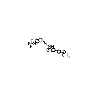 CC(=O)c1ccc(-c2ccc(C(=O)NCCCCN3CCc4ccc(OC(F)C(F)F)cc4C3)cc2)cc1